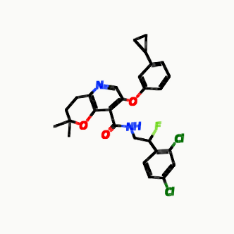 CC1(C)CCc2ncc(Oc3cccc(C4CC4)c3)c(C(=O)NCC(F)c3ccc(Cl)cc3Cl)c2O1